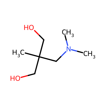 CN(C)CC(C)(CO)CO